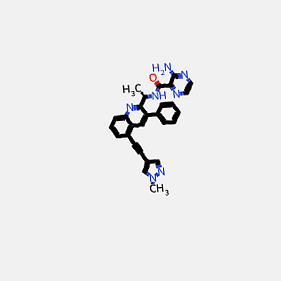 C[C@@H](NC(=O)c1nccnc1N)c1nc2cccc(C#Cc3cnn(C)c3)c2cc1-c1ccccc1